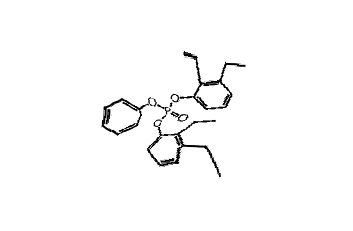 CCc1cccc(OP(=O)(Oc2ccccc2)Oc2cccc(CC)c2CC)c1CC